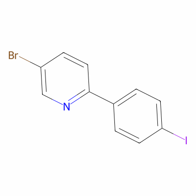 Brc1ccc(-c2ccc(I)cc2)nc1